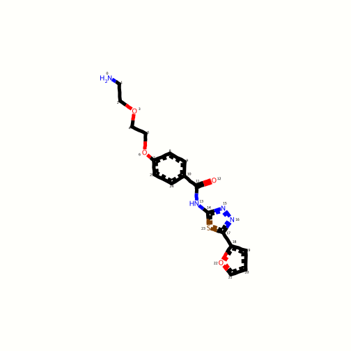 NCCOCCOc1ccc(C(=O)Nc2nnc(-c3ccco3)s2)cc1